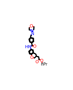 CCCOC(=O)CC1COc2ccc(NC(=O)c3ccc(/C=N/N4CCOCC4)cc3)cc2C1